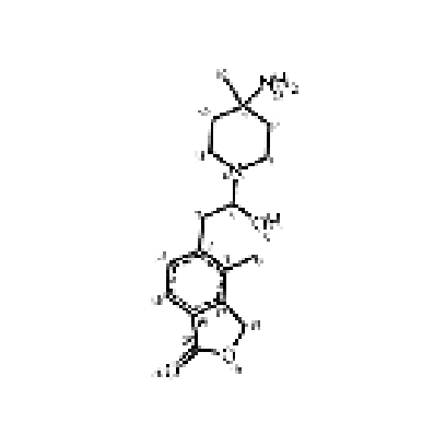 Cc1c(CC(O)N2CCC(C)(N)CC2)ccc2c1COC2=O